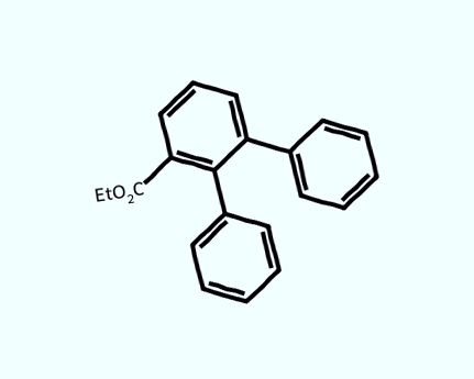 CCOC(=O)c1cccc(-c2ccccc2)c1-c1ccccc1